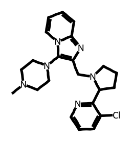 CN1CCN(c2c(CN3CCCC3c3ncccc3Cl)nc3ccccn23)CC1